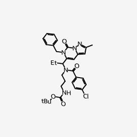 CCC(c1cc2cc(C)nn2c(=O)n1Cc1ccccc1)N(CCCNC(=O)OC(C)(C)C)C(=O)c1ccc(Cl)cc1